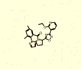 CCOc1ncccc1-c1noc(C2CCCN2C(=O)c2cc(C)cc(C)c2-n2nccn2)n1